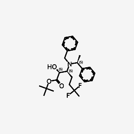 C[C@@H](c1ccccc1)N(Cc1ccccc1)[C@@H](CCC(C)(F)F)[C@H](O)C(=O)OC(C)(C)C